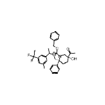 CC(=O)C1(O)CC[C@@](COC(C)c2cc(C)cc(C(F)(F)F)c2)(c2ccccc2)N(C(=O)OCc2ccccc2)C1